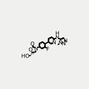 Cn1nncc1Nc1ccc(-c2ccc(N3C[C@H](CO)OC3=O)cc2F)cn1